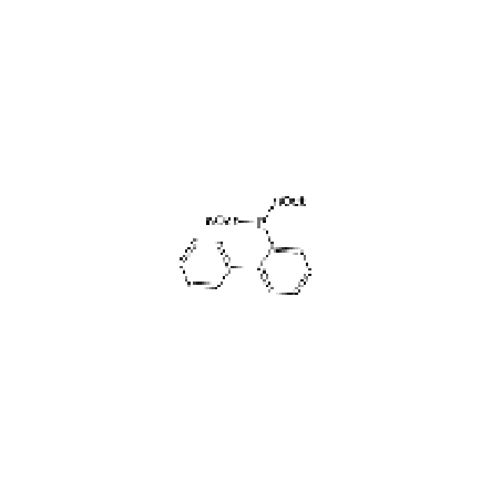 CCCCCCCCP(CCCCCCCC)c1ccccc1-c1ccccc1